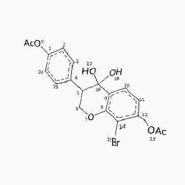 CC(=O)Oc1ccc(C2COc3c(ccc(OC(C)=O)c3Br)C2(O)O)cc1